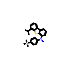 CC(C)c1cccc2c1sc1c(N(C)c3ccc([Si](C)(C)C)cc3)cccc12